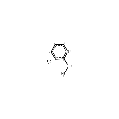 SSc1ccccn1.[Hg]